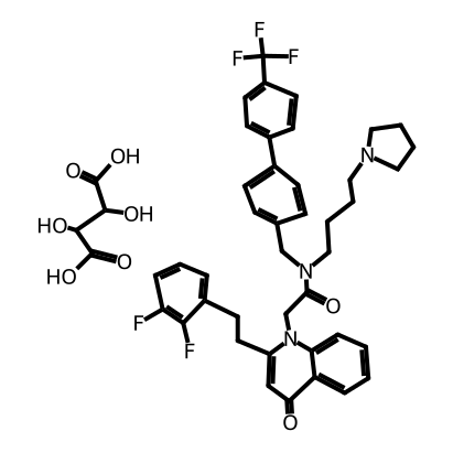 O=C(Cn1c(CCc2cccc(F)c2F)cc(=O)c2ccccc21)N(CCCCN1CCCC1)Cc1ccc(-c2ccc(C(F)(F)F)cc2)cc1.O=C(O)C(O)C(O)C(=O)O